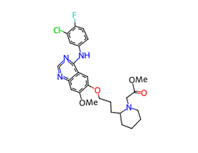 COC(=O)CN1CCCCC1CCCOc1cc2c(Nc3ccc(F)c(Cl)c3)ncnc2cc1OC